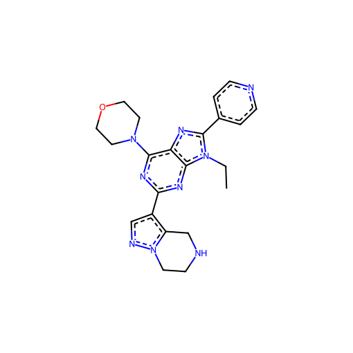 CCn1c(-c2ccncc2)nc2c(N3CCOCC3)nc(-c3cnn4c3CNCC4)nc21